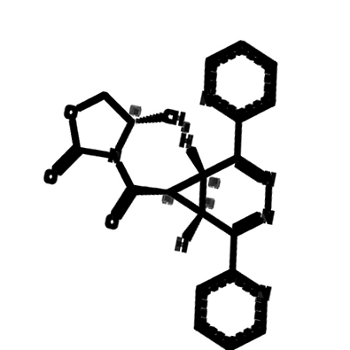 C[C@H]1COC(=O)N1C(=O)[C@@H]1[C@H]2C(c3ccccn3)=NN=C(c3ccccn3)[C@@H]12